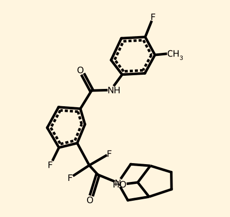 Cc1cc(NC(=O)c2ccc(F)c(C(F)(F)C(=O)N3CC4CCC(C3)C4O)c2)ccc1F